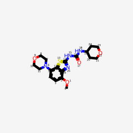 COc1ccc(N2CCOCC2)c2sc(NC(=O)NC3CCOCC3)nc12